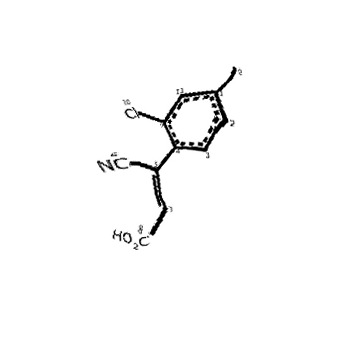 Cc1ccc(C(C#N)=CC(=O)O)c(Cl)c1